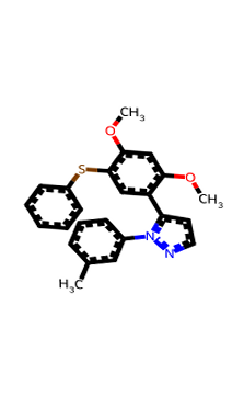 COc1cc(OC)c(-c2ccnn2-c2cccc(C)c2)cc1Sc1ccccc1